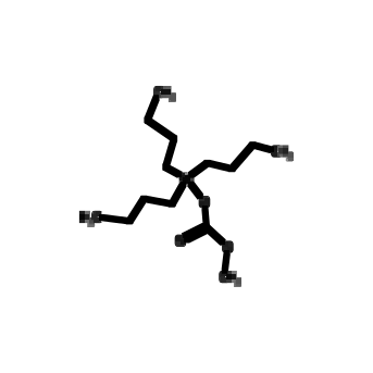 CCC[CH2][Sn]([CH2]CCC)([CH2]CCC)[O]C(=O)OC